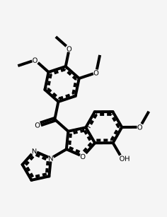 COc1cc(C(=O)c2c(-n3cccn3)oc3c(O)c(OC)ccc23)cc(OC)c1OC